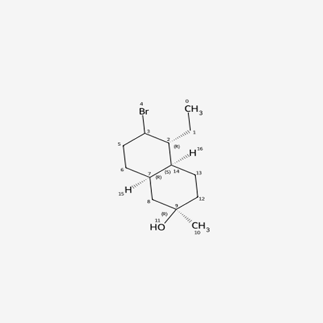 CC[C@H]1C(Br)CC[C@@H]2C[C@](C)(O)CC[C@@H]21